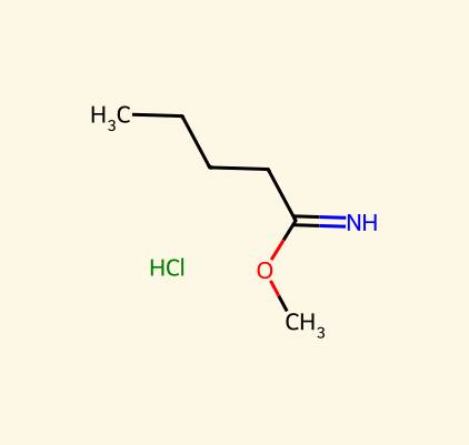 CCCCC(=N)OC.Cl